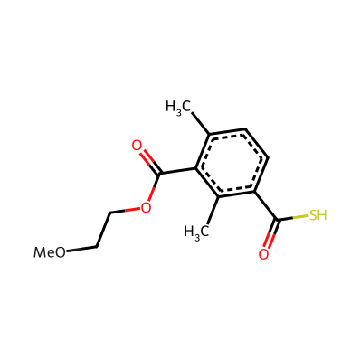 COCCOC(=O)c1c(C)ccc(C(=O)S)c1C